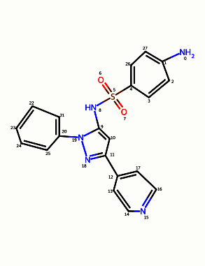 Nc1ccc(S(=O)(=O)Nc2cc(-c3ccncc3)nn2-c2ccccc2)cc1